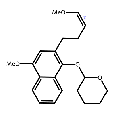 CO/C=C\CCc1cc(OC)c2ccccc2c1OC1CCCCO1